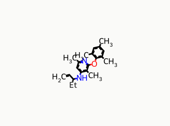 C=CC(CC)Nc1cc(C)nc(Oc2c(C)cc(C)cc2C)c1C